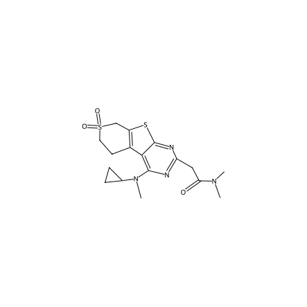 CN(C)C(=O)Cc1nc(N(C)C2CC2)c2c3c(sc2n1)CS(=O)(=O)CC3